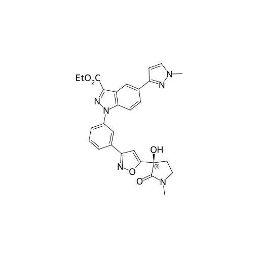 CCOC(=O)c1nn(-c2cccc(-c3cc([C@]4(O)CCN(C)C4=O)on3)c2)c2ccc(-c3ccn(C)n3)cc12